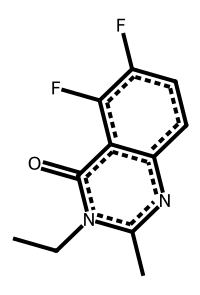 CCn1c(C)nc2ccc(F)c(F)c2c1=O